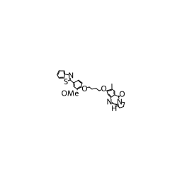 COc1cc(-c2nc3ccccc3s2)ccc1OCCCCOc1cc2c(cc1C)C(=O)N1CCC[C@H]1C=N2